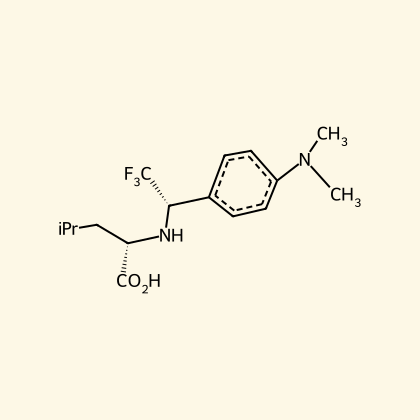 CC(C)C[C@H](N[C@@H](c1ccc(N(C)C)cc1)C(F)(F)F)C(=O)O